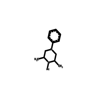 CC(=O)N1C(C)CN(c2ccccc2)CC1C